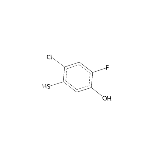 Oc1cc(S)c(Cl)cc1F